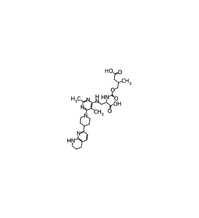 Cc1nc(NCC(NC(=O)OCC(C)CC(=O)O)C(=O)O)c(C)c(N2CCC(c3ccc4c(n3)NCCC4)CC2)n1